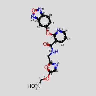 O=C(O)COc1cnc(CNC(=O)c2cccnc2Oc2ccc3nonc3c2)o1